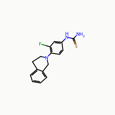 NC(=S)Nc1ccc(N2CCc3ccccc3C2)c(F)c1